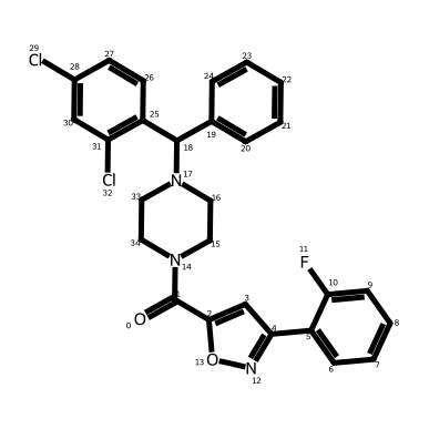 O=C(c1cc(-c2ccccc2F)no1)N1CCN(C(c2ccccc2)c2ccc(Cl)cc2Cl)CC1